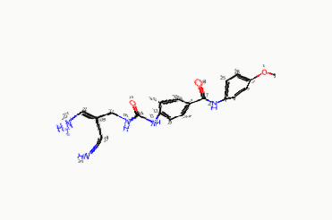 COc1ccc(NC(=O)c2ccc(NC(=O)NC/C(C=N)=C/N)cc2)cc1